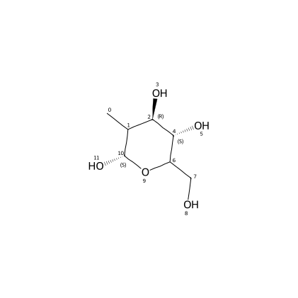 CC1[C@@H](O)[C@H](O)C(CO)O[C@@H]1O